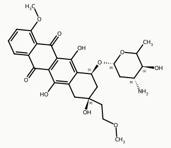 COCC[C@]1(O)Cc2c(O)c3c(c(O)c2[C@@H](O[C@H]2C[C@@H](N)[C@H](O)C(C)O2)C1)C(=O)c1c(OC)cccc1C3=O